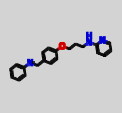 c1ccc([N]Cc2ccc(OCCCNc3ccccn3)cc2)cc1